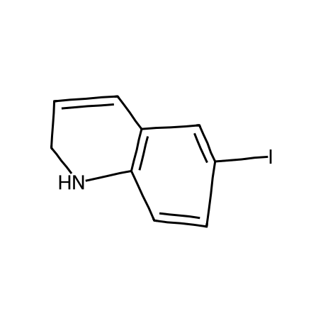 Ic1ccc2c(c1)C=CCN2